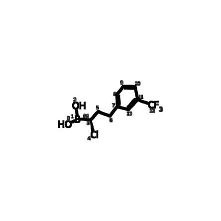 OB(O)[C@H](Cl)CCc1cccc(C(F)(F)F)c1